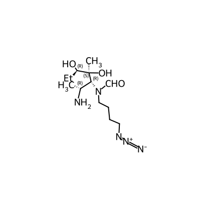 CC[C@@H](O)[C@@](C)(O)[C@@H]([C@@H](C)N)N(C=O)CCCCN=[N+]=[N-]